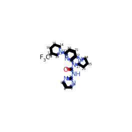 O=C(Nc1ncccn1)N1c2nc(N3CCCC(C(F)(F)F)C3)ccc2N2CCCC21